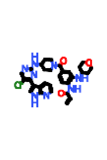 C=CC(=O)Nc1ccc(C(=O)N2CCC(Nc3ncc(Cl)c(-c4c[nH]c5ncccc45)n3)CC2)cc1NC1CCOCC1